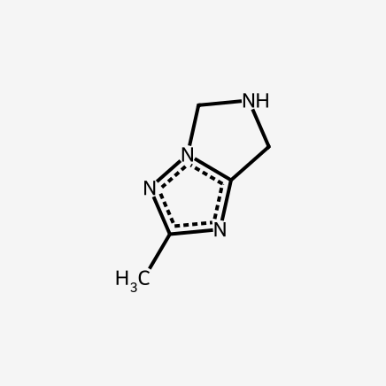 Cc1nc2n(n1)CNC2